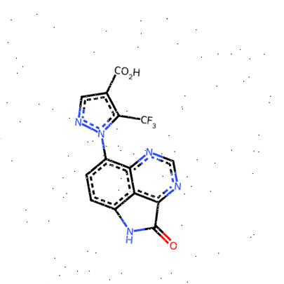 O=C(O)c1cnn(-c2ccc3c4c(ncnc24)C(=O)N3)c1C(F)(F)F